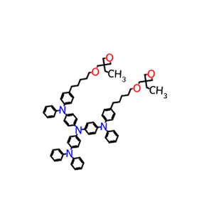 CCC1(COCCCCCc2ccc(N(c3ccccc3)c3ccc(N(c4ccc(N(c5ccccc5)c5ccccc5)cc4)c4ccc(N(c5ccccc5)c5ccc(CCCCCOCC6(CC)COC6)cc5)cc4)cc3)cc2)COC1